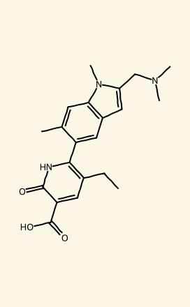 CCc1cc(C(=O)O)c(=O)[nH]c1-c1cc2cc(CN(C)C)n(C)c2cc1C